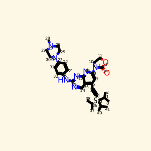 CC(C)[Si](C#Cc1cc(N2CCOC2=O)nc2nc(Nc3ccc(N4CCN(C)CC4)cc3)ncc12)(C(C)C)C(C)C